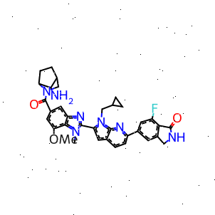 COc1cc(C(=O)N2CC3CCC2C3N)cc2nc(-c3cc4ccc(-c5cc(F)c6c(c5)CNC6=O)nc4n3CC3CC3)n(C)c12